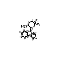 O[C@H]1CCC(F)(F)C[C@H]1[C@@H]1c2ccccc2-c2cncn21